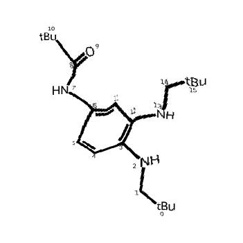 CC(C)(C)CNc1ccc(NC(=O)C(C)(C)C)cc1NCC(C)(C)C